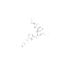 CNc1cc(Nc2cccn(C3CCN(C(C)=O)CC3)c2=O)nn2c(C(=O)NC3C[C@@H]3F)cnc12